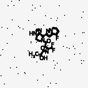 C[C@@H](O)c1nc(C(F)F)c(C(=O)N2CCc3[nH]cnc3[C@H]2c2cc3c(F)cccn3n2)o1